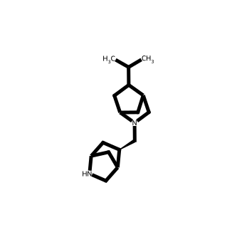 CC(C)C1CC2CC1CN2C[C@@H]1CC2CC1CN2